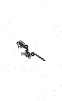 CCCCCCCCCc1ccc(C(CC(O)C(C)Sc2cccc(NC(=O)CC(=O)OC)c2)C(=O)OC)cc1